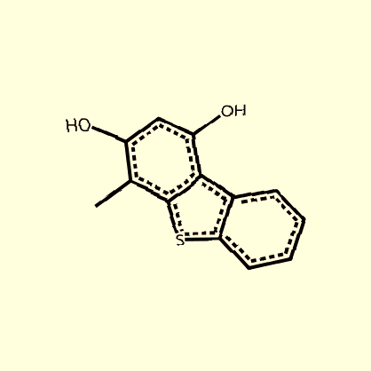 Cc1c(O)cc(O)c2c1sc1ccccc12